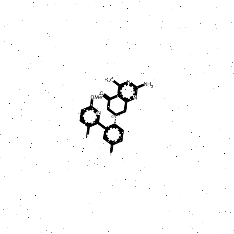 COc1ccc(F)c(-c2cc(F)ccc2[C@@H]2CC(=O)c3c(C)nc(N)nc3C2)n1